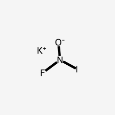 [K+].[O-]N(F)I